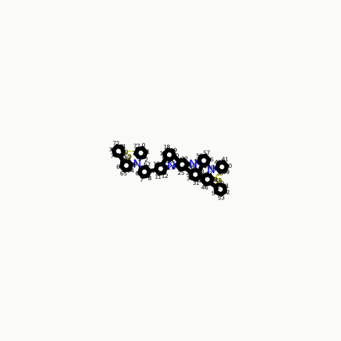 c1ccc(N(c2cccc(-c3ccc4c(c3)c3cccc5c6cc7c(cc6n4c35)c3cccc4c5c(N(c6ccccc6)c6cccc8c6sc6ccccc68)cccc5n7c34)c2)c2cccc3c2sc2ccccc23)cc1